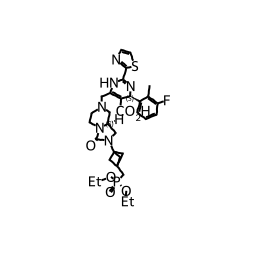 CCOP(=O)(CC12CC(N3C[C@@H]4CN(CC5=C(C(=O)O)[C@H](c6cccc(F)c6C)N=C(c6nccs6)N5)CCN4C3=O)(C1)C2)OCC